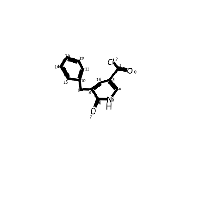 O=C(Cl)c1c[nH]c(=O)c(Cc2ccccc2)c1